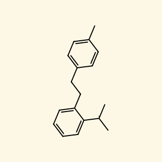 C[C](C)c1ccccc1CCc1ccc(C)cc1